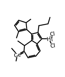 CCCC1=[C]([Hf]([Cl])[Cl])C2=CC=C[C](=[Ge]([CH3])[CH3])C(C)C2=C1C1=C(C)C=CC1C